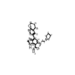 CN(CCN1CCCC1)c1cc(-c2cnc3c(c2)CCCO3)c2nc[nH]c2c1C(N)=O